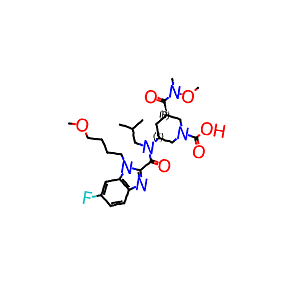 COCCCCn1c(C(=O)N(CC(C)C)[C@H]2C[C@@H](C(=O)N(C)OC)CN(C(=O)O)C2)nc2ccc(F)cc21